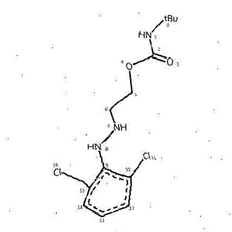 CC(C)(C)NC(=O)OCCNNc1c(Cl)cccc1Cl